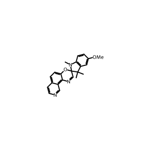 COc1ccc2c(c1)C(C)(C)C1(C=Nc3c(ccc4ccncc34)O1)N2C